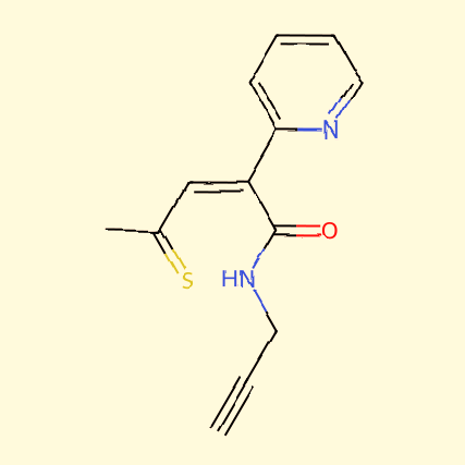 C#CCNC(=O)C(=CC(C)=S)c1ccccn1